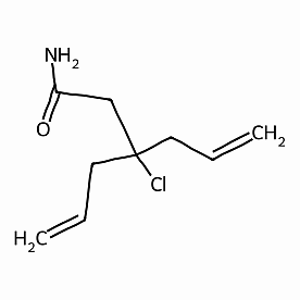 C=CCC(Cl)(CC=C)CC(N)=O